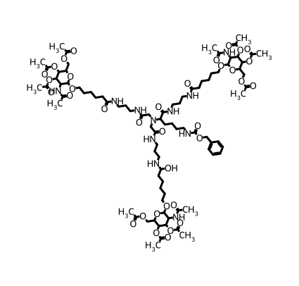 CC(=O)NC1C(OCCCCCC(=O)NCCCNC(=O)CN(CC(=O)NCCCNC(O)CCCCCOC2OC(COC(C)=O)C(OC(C)=O)C(OC(C)=O)C2NC(C)=O)C(CCCCNC(=O)OCc2ccccc2)C(=O)NCCCNC(=O)CCCCCOC2OC(COC(C)=O)C(OC(C)=O)C(OC(C)=O)C2NC(C)=O)OC(COC(C)=O)C(OC(C)=O)C1OC(C)=O